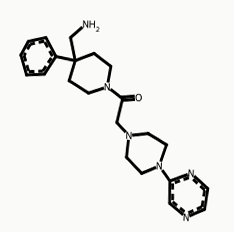 NCC1(c2ccccc2)CCN(C(=O)CN2CCN(c3cnccn3)CC2)CC1